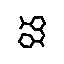 CC(C)C1CCOC(SC(C)N2CCOCC2)C1